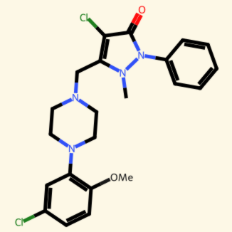 COc1ccc(Cl)cc1N1CCN(Cc2c(Cl)c(=O)n(-c3ccccc3)n2C)CC1